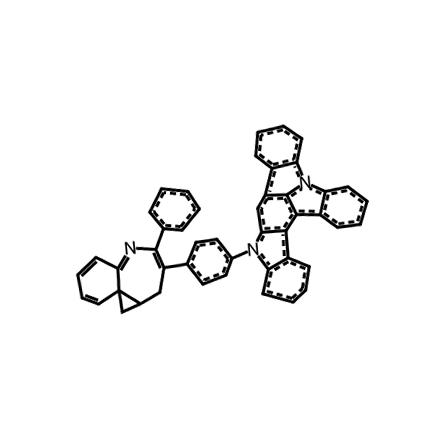 C1=CC2=NC(c3ccccc3)=C(c3ccc(-n4c5ccccc5c5c6c7ccccc7n7c8ccccc8c(cc54)c67)cc3)CC3CC23C=C1